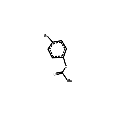 CCC(C)C(=O)Oc1ccc(Br)cc1